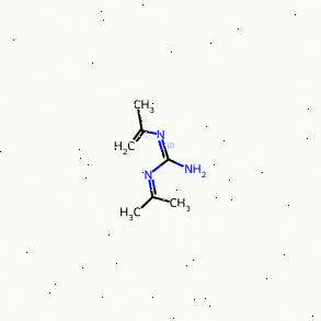 C=C(C)/N=C(/N)N=C(C)C